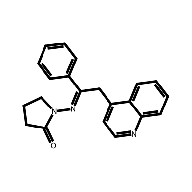 O=C1CCCN1N=C(Cc1ccnc2ccccc12)c1ccccc1